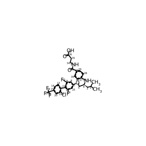 CC(C)C[C@@H](COc1cc(F)c(-c2ccc(C(F)(F)F)cc2Cl)c(F)c1)Nc1ccc(C(=O)NCCC(=O)O)cc1